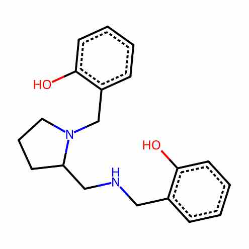 Oc1ccccc1CNCC1CCCN1Cc1ccccc1O